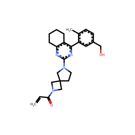 C=CC(=O)N1CC2(CCN(c3nc4c(c(-c5cc(CO)ccc5C)n3)CCCC4)C2)C1